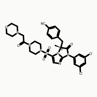 C[C@@]1(Cc2ccc(C#N)cc2)C(=O)N(c2cc(Cl)cc(Cl)c2)c2ncc(S(=O)(=O)N3CCN(C(=O)CN4CCOCC4)CC3)n21